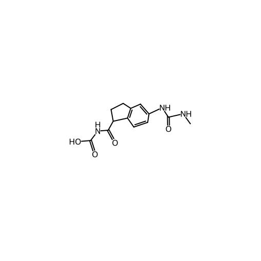 CNC(=O)Nc1ccc2c(c1)CCC2C(=O)NC(=O)O